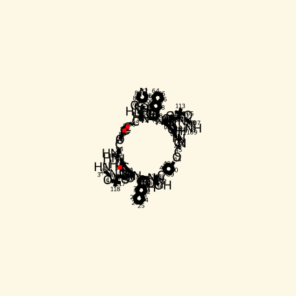 CN[C@@H](C)C(=O)N[C@H](C(=O)N1C[C@@H]2C[C@H]1C(=O)N[C@@H](Cc1ccc3ccccc3c1)C(=O)N[C@H](C(=O)O)Cc1ccc(cc1)OCc1cn(nn1)[C@H]1C[C@@H](C(=O)N[C@@H](Cc3ccc4ccccc4c3)C(=O)N[C@H](C(=O)NS(=O)(=O)c3ccncc3)Cc3ccc(cc3)OCC3=CN2NN3)N(C(=O)[C@@H](NC(=O)[C@H](C)NC)C(C)(C)C)C1)C(C)(C)C